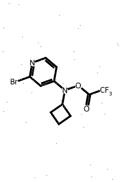 O=C(ON(c1ccnc(Br)c1)C1CCC1)C(F)(F)F